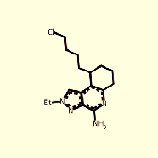 CCn1cc2c3c(nc(N)c2n1)CCCC3CCCCCl